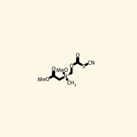 COC(=O)C[N+](C)(COC(=O)SC#N)OC